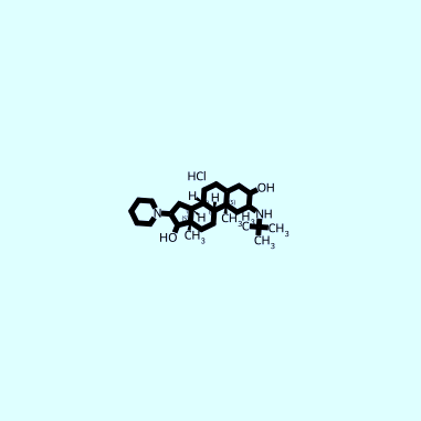 CC(C)(C)NC1C[C@@]2(C)C(CC[C@@H]3[C@H]2CC[C@]2(C)C(O)C(N4CCCCC4)C[C@@H]32)CC1O.Cl